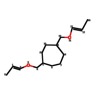 CC=COCC1CCCC(COC=CC)CC1